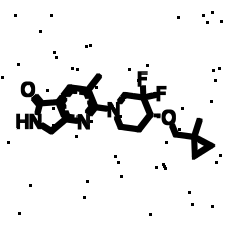 Cc1cc2c(nc1N1CC[C@@H](OCC3(C)CC3)C(F)(F)C1)CNC2=O